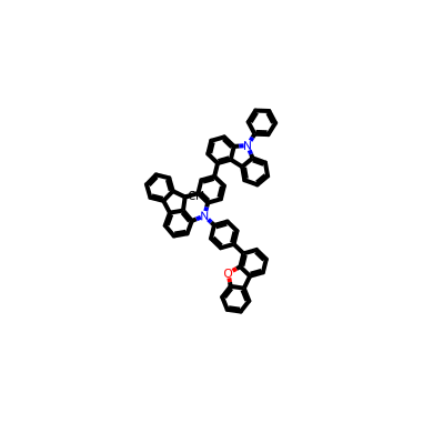 CC12c3ccccc3-c3cccc(c31)N(c1ccc(-c3cccc4c3oc3ccccc34)cc1)c1ccc(-c3cccc4c3c3ccccc3n4-c3ccccc3)cc12